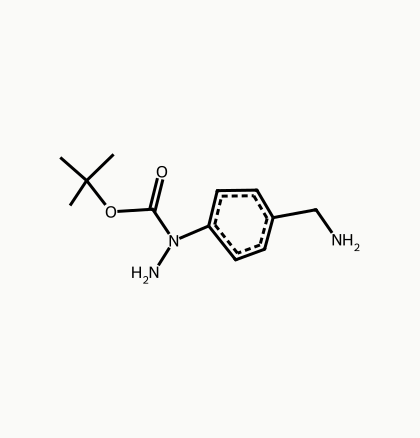 CC(C)(C)OC(=O)N(N)c1ccc(CN)cc1